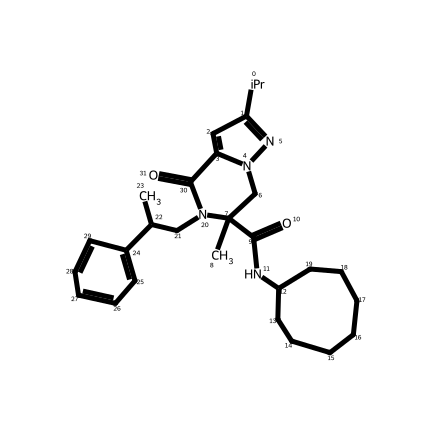 CC(C)c1cc2n(n1)CC(C)(C(=O)NC1CCCCCCC1)N(CC(C)c1ccccc1)C2=O